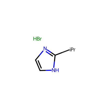 Br.CC(C)c1ncc[nH]1